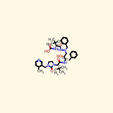 Cc1ccncc1CN1CCN([C@H](C(=O)N[C@@H](Cc2ccccc2)[C@@H](O)CN(Cc2ccccc2)NC(=O)[C@@H](NC(=O)O)C(C)(C)C)C(C)(C)C)C1=O